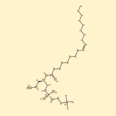 CCCCCCCC/C=C\CCCCCCCC(=O)O[C@H](COO)COP(=O)([O-])OCC[N+](C)(C)C